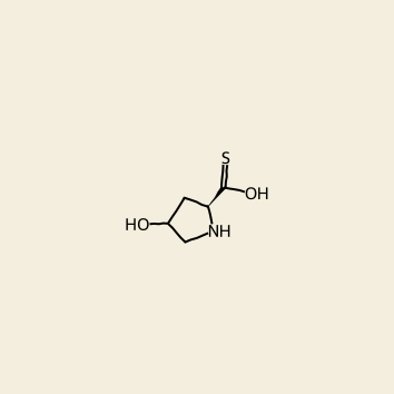 OC(=S)[C@@H]1CC(O)CN1